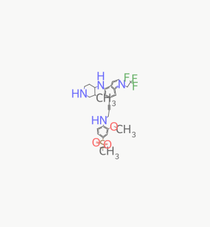 COc1cc(S(C)(=O)=O)ccc1NCC#Cc1cc(NC2CCNC[C@@H]2C)c2ccn(CC(F)(F)F)c2c1